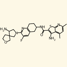 Cc1cc(C)c2c(N)c(C(=O)NC3CCc4nc(N5CC(N)C6(CCOC6)C5)c(F)cc4C3)sc2n1